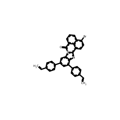 C=Cc1ccc(-c2cc(-c3ccc(C=C)cc3)c3nc4c5ccc(Br)c6cccc(c(=O)n4c3c2)c65)cc1